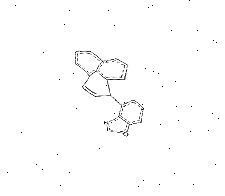 C1=CC(c2cccc3ocnc23)c2cccc3cccc1c23